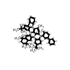 Cc1cc2c3c(c1)N(c1cc(C(C)(C)C)cc4c1sc1ccccc14)c1cc4c(cc1B3c1cc(C(C)(C)C)ccc1N2c1cc(-c2ccccc2)ccc1C)C(C)(C)CCC4(C)C